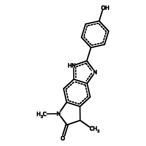 CC1C(=O)N(C)c2cc3[nH]c(-c4ccc(O)cc4)nc3cc21